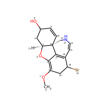 COC1=C2O[C@H]3CC(O)C=C[C@]34CNC=CC(=C24)C(Br)C1